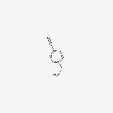 N#Cc1ccc([CH]N)cc1